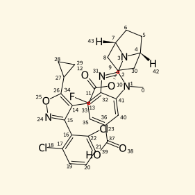 Cn1c(N2[C@@H]3CC[C@H]2C[C@@H](OC(=O)Cc2c(-c4c(Cl)cccc4Cl)noc2C2CC2)C3)nc2c(F)cc(C(=O)O)cc21